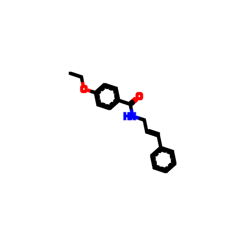 CCOc1ccc(C(=O)NC/C=C/c2ccccc2)cc1